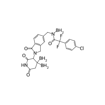 BN(Cc1ccc2c(c1)CN(C1C(=O)NC(=O)CC1(B)B)C2=O)C(=O)C(F)(F)c1ccc(Cl)cc1